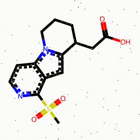 CS(=O)(=O)c1nccc2c1cc1n2CCCC1CC(=O)O